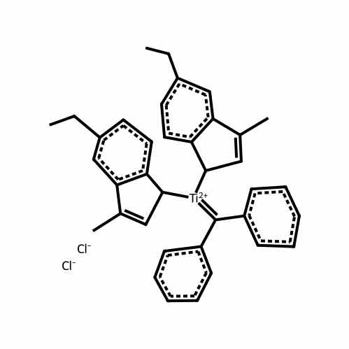 CCc1ccc2c(c1)C(C)=C[CH]2[Ti+2](=[C](c1ccccc1)c1ccccc1)[CH]1C=C(C)c2cc(CC)ccc21.[Cl-].[Cl-]